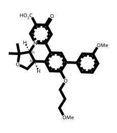 COCCCOc1cc2c(cc1-c1cccc(OC)c1)-c1cc(=O)c(C(=O)O)cn1[C@H]1[C@@H]2COC1(C)C